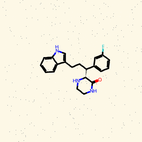 O=C1NCCN[C@@H]1C(CCc1c[nH]c2ccccc12)c1cccc(F)c1